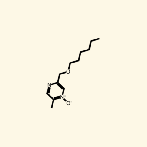 CCCCCCOCc1c[n+]([O-])c(C)cn1